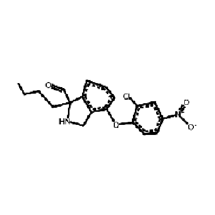 CCCCC1(C=O)NCc2c(Oc3ccc([N+](=O)[O-])cc3Cl)cccc21